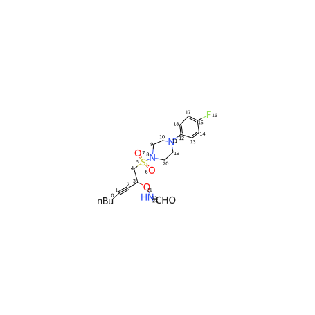 CCCCC#CC(CS(=O)(=O)N1CCN(c2ccc(F)cc2)CC1)ONC=O